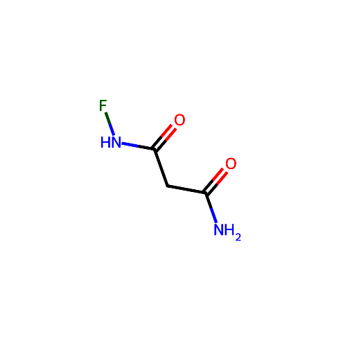 NC(=O)CC(=O)NF